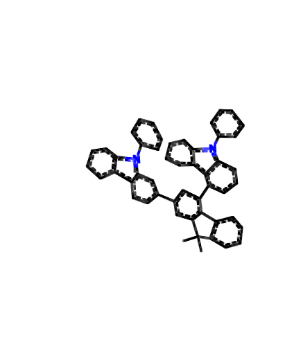 CC1(C)c2ccccc2-c2c(-c3cccc4c3c3ccccc3n4-c3ccccc3)cc(-c3ccc4c5ccccc5n(-c5ccccc5)c4c3)cc21